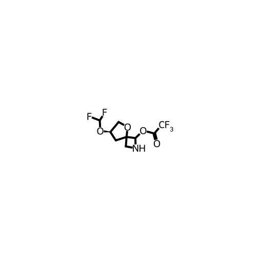 O=C(OC1NCC12C[C@@H](OC(F)F)CO2)C(F)(F)F